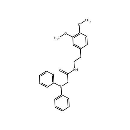 COc1ccc(CCNC(=O)CN(c2ccccc2)c2ccccc2)cc1OC